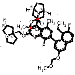 CCc1c(F)ccc2cc(OCOC)cc(-c3cc(C)c4c(N5C[C@H]6CC[C@@H](C5)N6C(=O)OC(C)(C)C)nc(OC[C@@]56CCCN5C[C@H](F)C6)nc4c3F)c12